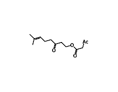 CC(=O)CC(=O)OCCC(=O)CCC=C(C)C